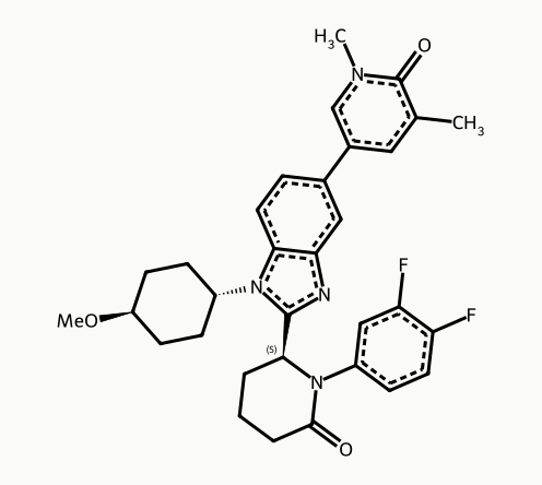 CO[C@H]1CC[C@H](n2c([C@@H]3CCCC(=O)N3c3ccc(F)c(F)c3)nc3cc(-c4cc(C)c(=O)n(C)c4)ccc32)CC1